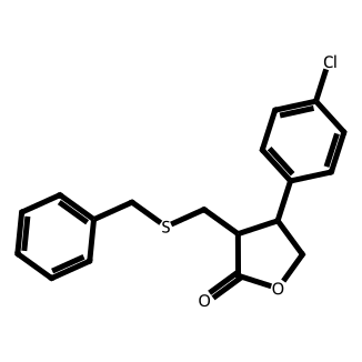 O=C1OCC(c2ccc(Cl)cc2)C1CSCc1ccccc1